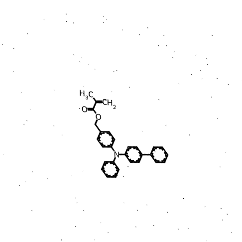 C=C(C)C(=O)OCc1ccc(N(c2ccccc2)c2ccc(-c3ccccc3)cc2)cc1